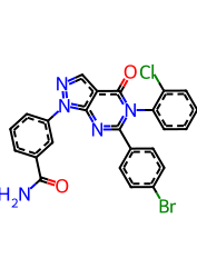 NC(=O)c1cccc(-n2ncc3c(=O)n(-c4ccccc4Cl)c(-c4ccc(Br)cc4)nc32)c1